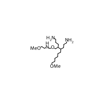 COCCCCCCC(CCCN)C(CCCN)COCNCCOC